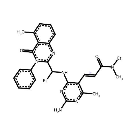 CCC(Nc1nc(N)nc(C)c1/C=C/C(=O)N(C)CC)c1nc2cccc(C)c2c(=O)n1-c1ccccc1